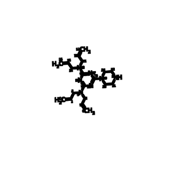 C=CCN(CC=C)c1nc(N(CC=C)CC=C)nc(N2CCNCC2)n1